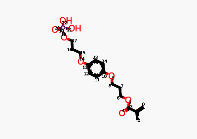 C=C(C)C(=O)OCCCOc1ccc(OCCCOP(=O)(O)O)cc1